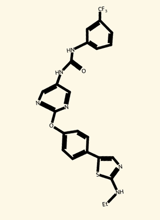 CCNc1ncc(-c2ccc(Oc3ncc(NC(=O)Nc4cccc(C(F)(F)F)c4)cn3)cc2)s1